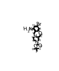 CC(C)(C)OC(=O)N1CCN2Cc3c(N)cc(Br)cc3OCC2C1